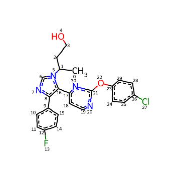 CC(CCO)n1cnc(-c2ccc(F)cc2)c1-c1ccnc(Oc2ccc(Cl)cc2)n1